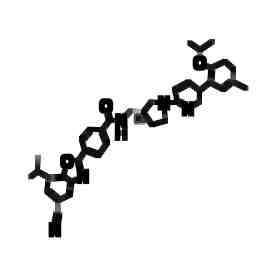 CC1=CC(C2C=CC(N3CC[C@H](CNC(=O)c4ccc(-c5nc6cc(C#N)cc(C(C)C)c6o5)cc4)C3)=NC2)=C(OC(C)C)CC1